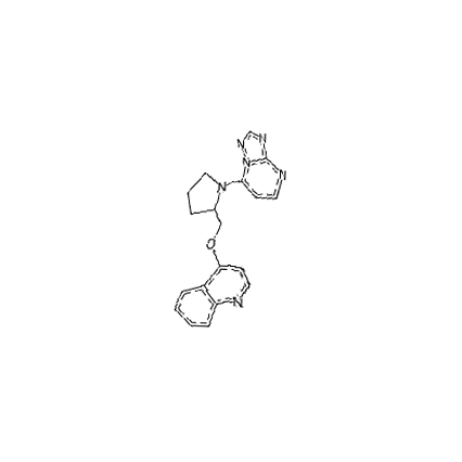 c1ccc2c(OCC3CCCN3c3ccnc4ncnn34)ccnc2c1